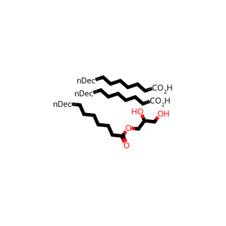 CCCCCCCCCCCCCCCCC(=O)O.CCCCCCCCCCCCCCCCC(=O)O.CCCCCCCCCCCCCCCCC(=O)OCC(O)CO